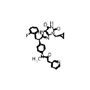 CN(C(=O)Cc1cccnc1)c1ccc(C(Cc2ccccc2F)c2nc3c([nH]2)c(=O)[nH]c(=O)n3CC2CC2)cc1